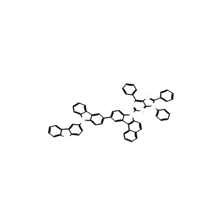 c1ccc(-c2nc(-n3c4ccc(-c5ccc6c(c5)c5ccccc5n6-c5ccc6oc7ccccc7c6c5)cc4c4c5ccccc5ccc43)nc3c2nc(-c2ccccc2)n3-c2ccccc2)cc1